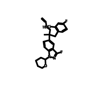 C=CNCC(C)(Cc1ccc(F)cc1Cl)c1ccc2c(c1)c(F)nn2C1CCCCO1